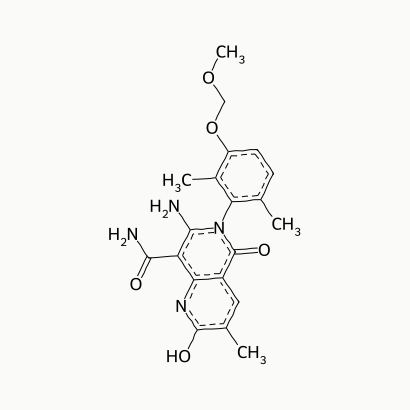 COCOc1ccc(C)c(-n2c(N)c(C(N)=O)c3nc(O)c(C)cc3c2=O)c1C